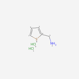 Cl.Cl.NCc1cccs1